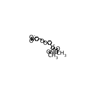 COC(=O)c1sc(-c2cccc(OCOCc3ccc([N+](=O)[O-])cc3)c2)cc1NC(C)=O